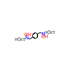 CCCCCCCCN(O)Cc1ccc(CN(O)CCCCCCCC)cc1